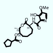 COc1ccnc(C(=O)N[C@H]2CCCC[C@@H](OC(=O)C3CCCC3)[C@H](C)OC2=O)c1O